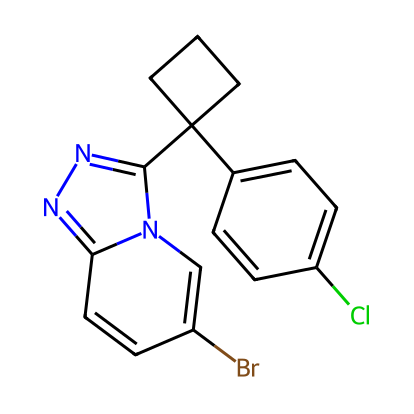 Clc1ccc(C2(c3nnc4ccc(Br)cn34)CCC2)cc1